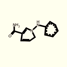 NC(=O)C1=CN(Nc2ccccc2)CC=C1